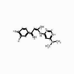 CN(C)c1cc(N/C(O)=C\C(=N)c2ccc(F)c(F)c2)ncn1